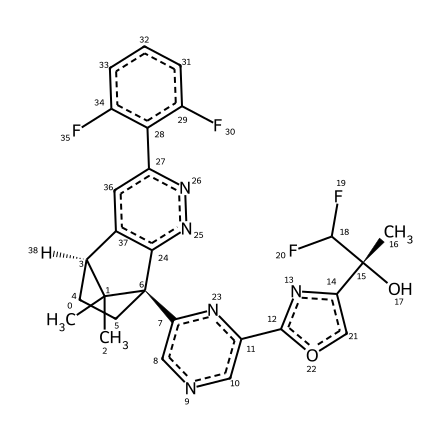 CC1(C)[C@H]2CC[C@@]1(c1cncc(-c3nc([C@@](C)(O)C(F)F)co3)n1)c1nnc(-c3c(F)cccc3F)cc12